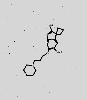 COc1cc2c(cc1OCCCN1CCCCC1)N=C(N)C21CCC1